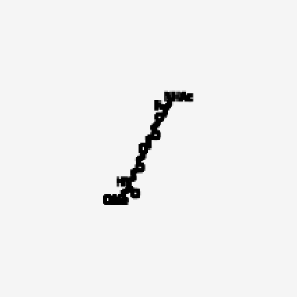 COCC(=O)NCCOCCOCCOCCOCC(F)CNC(C)=O